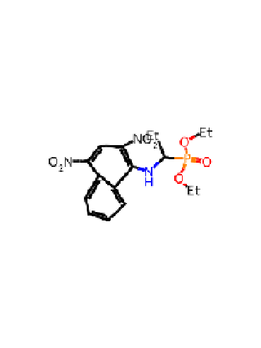 CCOP(=O)(OCC)C(CC)Nc1c([N+](=O)[O-])cc([N+](=O)[O-])c2ccccc12